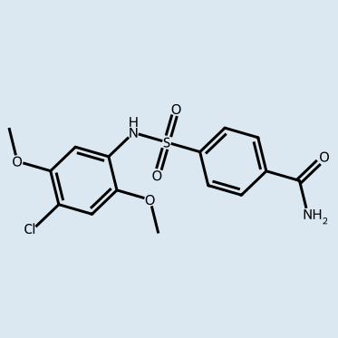 COc1cc(NS(=O)(=O)c2ccc(C(N)=O)cc2)c(OC)cc1Cl